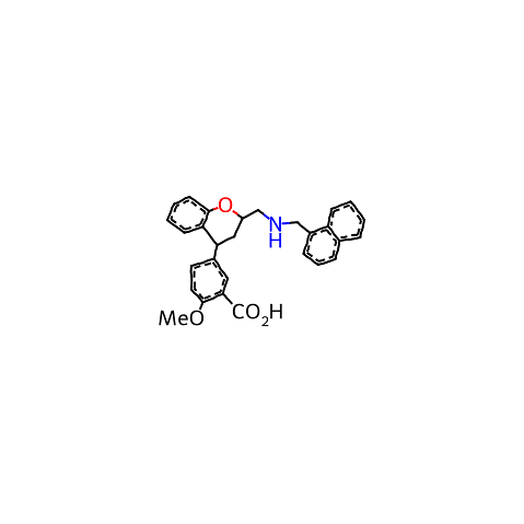 COc1ccc(C2CC(CNCc3cccc4ccccc34)Oc3ccccc32)cc1C(=O)O